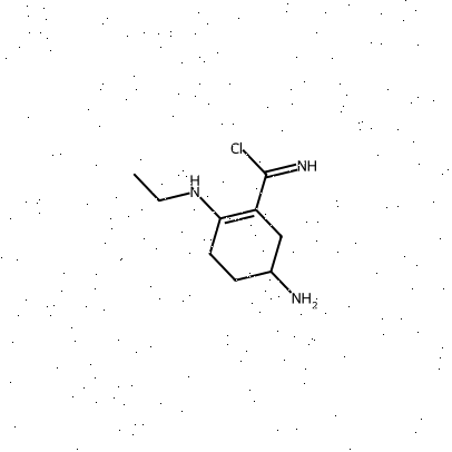 CCNC1=C(C(=N)Cl)CC(N)CC1